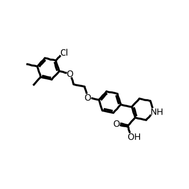 Cc1cc(Cl)c(OCCOc2ccc(C3=C(C(=O)O)CNCC3)cc2)cc1C